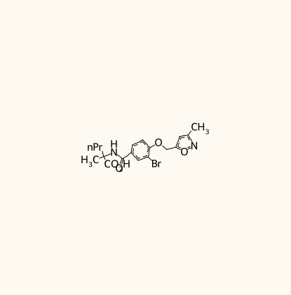 CCCC(C)(NC(=O)c1ccc(OCc2cc(C)no2)c(Br)c1)C(=O)O